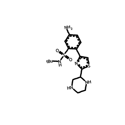 CC(C)(C)NS(=O)(=O)c1cc(N)ccc1-c1csc(C2CNCCN2)n1